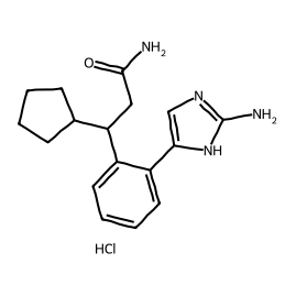 Cl.NC(=O)CC(c1ccccc1-c1cnc(N)[nH]1)C1CCCC1